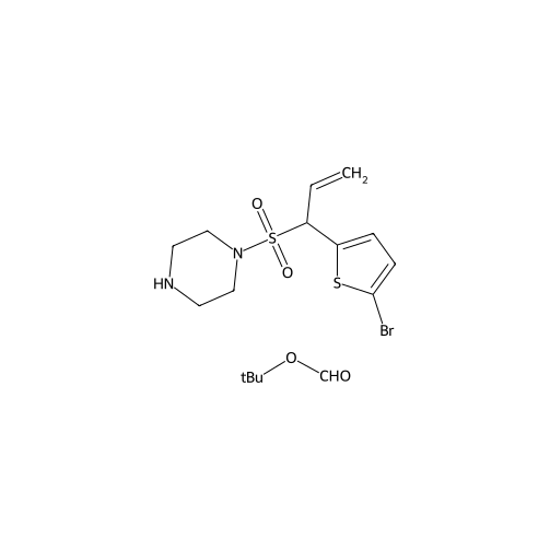 C=CC(c1ccc(Br)s1)S(=O)(=O)N1CCNCC1.CC(C)(C)OC=O